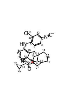 [C-]#[N+]c1ccc(Nc2ncnc(OC3C4COCC3CN(S(=O)(=O)C3CC3)C4)c2C)c(Cl)c1